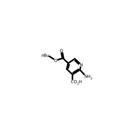 CCCCOC(=O)c1cnc(N)c(C(=O)O)c1